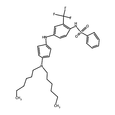 CCCCCCN(CCCCCC)c1ccc(Nc2ccc(NS(=O)(=O)c3ccccc3)c(C(F)(F)F)c2)cc1